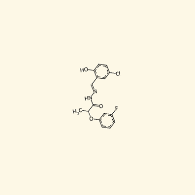 CC(Oc1cccc(F)c1)C(=O)NN=Cc1cc(Cl)ccc1O